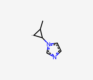 CC1[CH]C1n1ccnc1